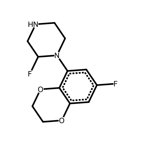 Fc1cc2c(c(N3CCNCC3F)c1)OCCO2